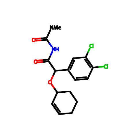 CNC(=O)NC(=O)C(OC1C=CCCC1)c1ccc(Cl)c(Cl)c1